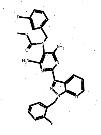 COC(=O)N(Cc1cccc(F)c1)c1c(N)nc(-c2nn(Cc3ccccc3F)c3ncccc23)nc1N